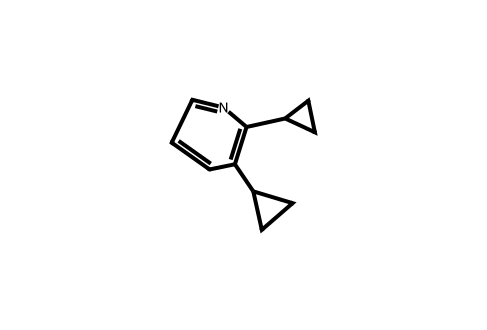 [c]1ccnc(C2CC2)c1C1CC1